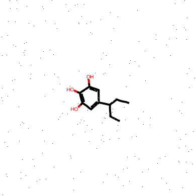 CCC(CC)c1cc(O)c(O)c(O)c1